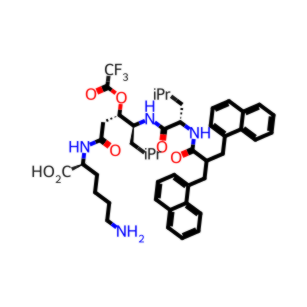 CC(C)C[C@H](NC(=O)C(Cc1cccc2ccccc12)Cc1cccc2ccccc12)C(=O)N[C@@H](CC(C)C)[C@H](CC(=O)N[C@@H](CCCCN)C(=O)O)OC(=O)C(F)(F)F